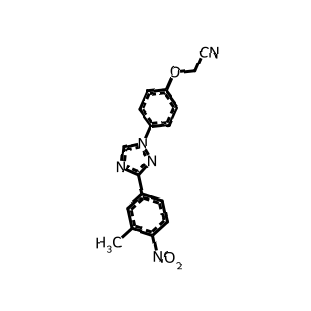 Cc1cc(-c2ncn(-c3ccc(OCC#N)cc3)n2)ccc1[N+](=O)[O-]